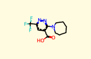 O=C(O)c1cc(C(F)(F)F)nnc1N1CCCCCC1